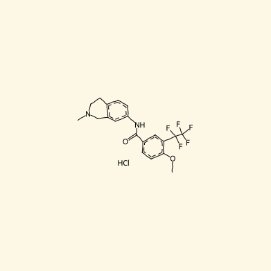 COc1ccc(C(=O)Nc2ccc3c(c2)CN(C)CC3)cc1C(F)(F)C(F)(F)F.Cl